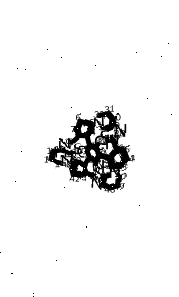 Cc1c(-c2ccccc2C2=NC3C=CC=NC3S2)c(C)c(-c2ccccc2-c2nc3cccnc3s2)c(C)c1-c1ccccc1-c1nc2cccnc2s1